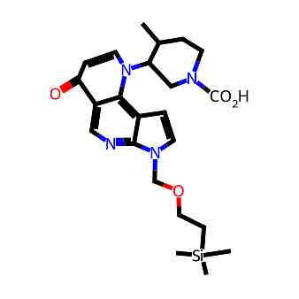 CC1CCN(C(=O)O)CC1n1ccc(=O)c2cnc3c(ccn3COCC[Si](C)(C)C)c21